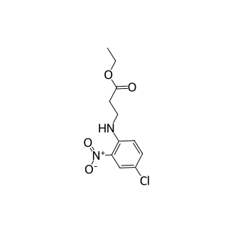 CCOC(=O)CCNc1ccc(Cl)cc1[N+](=O)[O-]